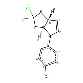 C[C@@]1(Cl)C[C@@H]2C(c3ccc(O)cc3)C=C[C@H]2C1